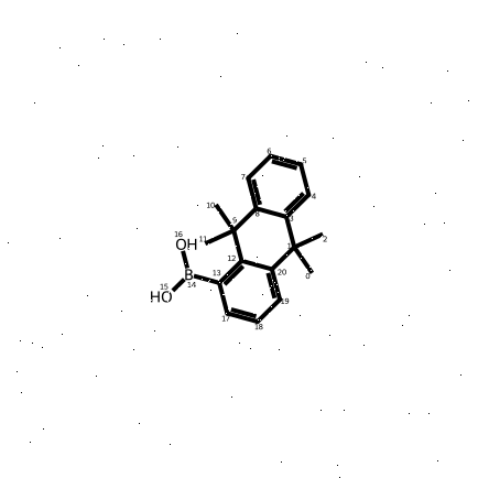 CC1(C)c2ccccc2C(C)(C)c2c(B(O)O)cccc21